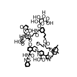 COCCN(CCOC12CC3(C)CC(C)(CC(Cn4ncc(-c5ccc(N6CCc7c(OC)ccc(C(=O)Nc8nc9ccccc9s8)c7C6)nc5C(=O)O)c4C)(C3)C1)C2)C(=O)OCC=Cc1ccc(O[C@@H]2O[C@H](C(=O)O)[C@@H](O)[C@H](O)[C@H]2O)c(NC(=O)CCNC(=O)[C@H](CS(=O)(=O)O)NC(=O)CN2C(=O)C=CC2=O)c1